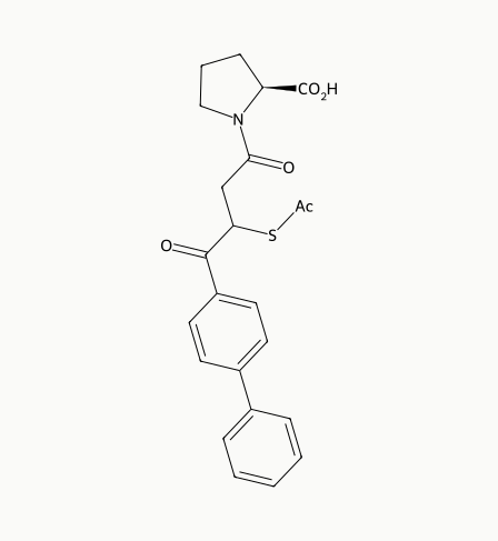 CC(=O)SC(CC(=O)N1CCC[C@H]1C(=O)O)C(=O)c1ccc(-c2ccccc2)cc1